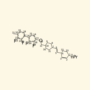 CCCC1C=CC(/C=C/C2CCC(COc3ccc(-c4ccc(C)c(F)c4F)c(F)c3F)CC2)CC1